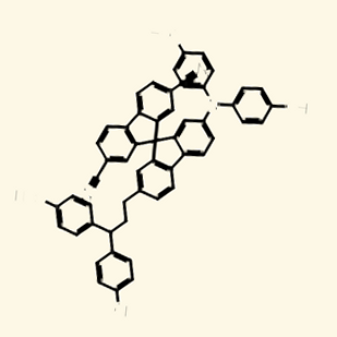 Cc1ccc(C(CCc2ccc3c(c2)C2(c4cc(C#N)ccc4-c4ccc(C#N)cc42)c2cc(N(c4ccc(C)cc4)c4ccc(C)cc4)ccc2-3)c2ccc(C)cc2)cc1